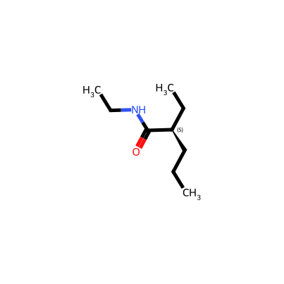 CCC[C@H](CC)C(=O)NCC